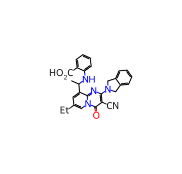 CCc1cc(C(C)Nc2ccccc2C(=O)O)c2nc(N3Cc4ccccc4C3)c(C#N)c(=O)n2c1